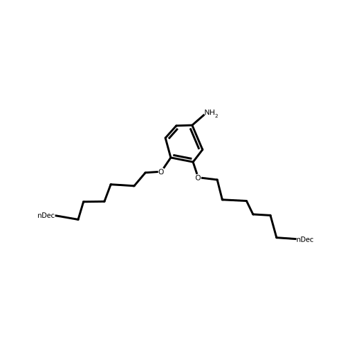 CCCCCCCCCCCCCCCCOc1ccc(N)cc1OCCCCCCCCCCCCCCCC